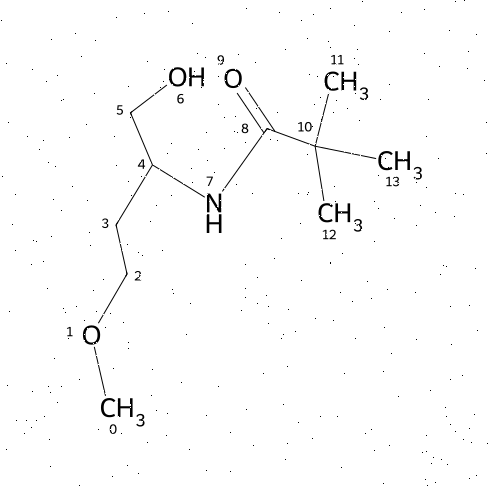 COCCC(CO)NC(=O)C(C)(C)C